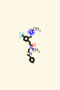 Cc1nnn(Cc2cc(C(F)(F)F)ccc2/C=C/C(=O)N(C)Cc2nc(-c3ccccc3)cs2)n1